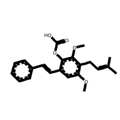 COc1cc(C=Cc2ccccc2)c(OC(=O)O)c(OC)c1CC=C(C)C